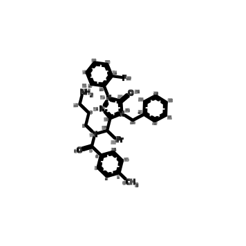 Cc1ccc(C(=O)N(CCCN)C(c2nn(-c3ccccc3F)c(=O)n2Cc2ccccc2)C(C)C)cc1